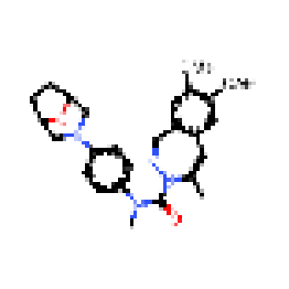 COc1cc2c(cc1OC)C=C(C)N(C(=O)N(C)c1ccc(N3CC4CCC(C3)O4)cc1)N=C2